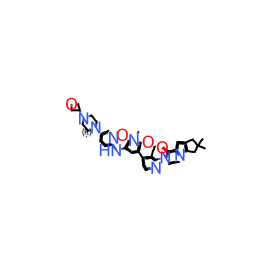 C[C@@H]1CN(C2COC2)CCN1c1ccc(Nc2cc(-c3ccnc(-n4ccn5c6c(cc5c4=O)CC(C)(C)C6)c3C=O)cn(C)c2=O)nc1